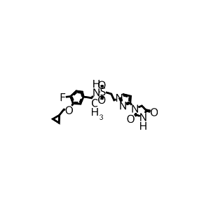 C[C@@H](NS(=O)(=O)CCn1ccc(N2CC(=O)NC2=O)n1)c1ccc(F)c(OCC2CC2)c1